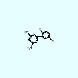 Nc1cc(O)nc(-c2cc(Cl)ccc2F)n1